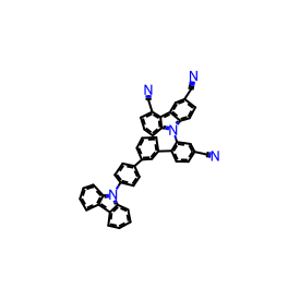 N#Cc1ccc(-c2cccc(-c3ccc(-n4c5ccccc5c5ccccc54)cc3)c2)c(-n2c3ccc(C#N)cc3c3c(C#N)cccc32)c1